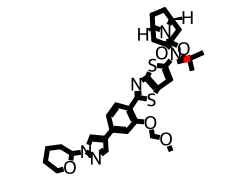 COCOc1cc(-c2cnn(C3CCCCO3)c2)ccc1-c1nc2sc(N(C)C3C[C@H]4CC[C@@H](C3)N4C(=O)OC(C)(C)C)cc2s1